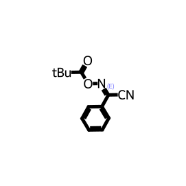 CC(C)(C)C(=O)O/N=C(/C#N)c1ccccc1